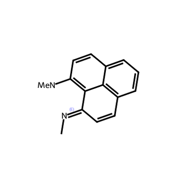 C/N=C1\C=Cc2cccc3ccc(NC)c1c23